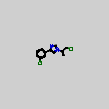 C=C(CCl)n1cnc(-c2cccc(Cl)c2)c1